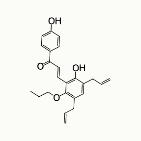 C=CCc1cc(CC=C)c(OCCC)c(C=CC(=O)c2ccc(O)cc2)c1O